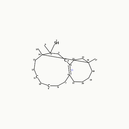 CC1(S)CC/C2=C3\CCCCCCCC1(C)C(C)(CCCC3)CC2